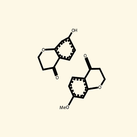 COc1ccc2c(c1)OCCC2=O.O=C1CCOc2cc(O)ccc21